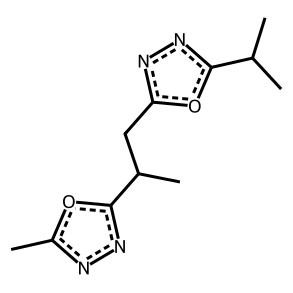 Cc1nnc(C(C)Cc2nnc(C(C)C)o2)o1